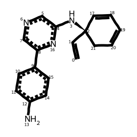 C=C[C@]1(Nc2cncc(-c3ccc(N)cc3)n2)C=CC=CC1